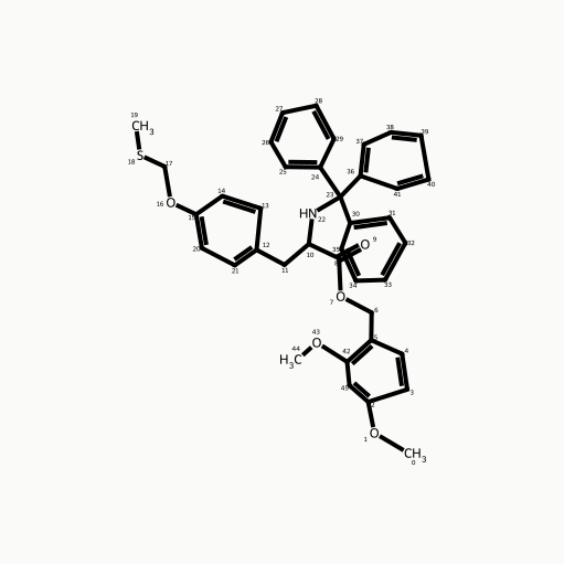 COc1ccc(COC(=O)C(Cc2ccc(OCSC)cc2)NC(c2ccccc2)(c2ccccc2)c2ccccc2)c(OC)c1